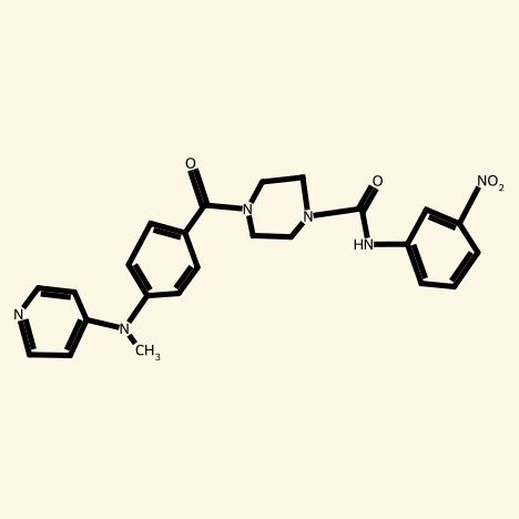 CN(c1ccncc1)c1ccc(C(=O)N2CCN(C(=O)Nc3cccc([N+](=O)[O-])c3)CC2)cc1